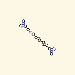 CC1(C)c2cc(-c3ccc(/C=C/c4ccc(-c5ccc6c(c5)c5ccccc5n6-c5ccccc5)cc4)cc3)ccc2-c2ccc(-c3ccc4c(c3)C(C)(C)c3cc(-c5ccc6c(c5)c5ccccc5n6-c5ccccc5)ccc3-4)cc21